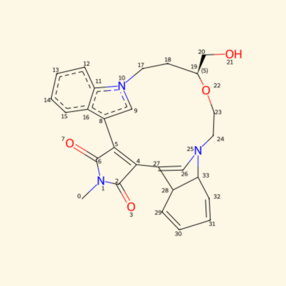 CN1C(=O)C2=C(C1=O)c1cn(c3ccccc13)CC[C@@H](CO)OCCN1C=C2C2C=CC=CC21